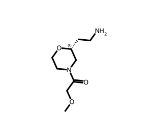 COCC(=O)N1CCO[C@H](CCN)C1